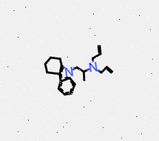 C=CCN(CC=C)C(C)Cn1c2c(c3ccccc31)CCCC2